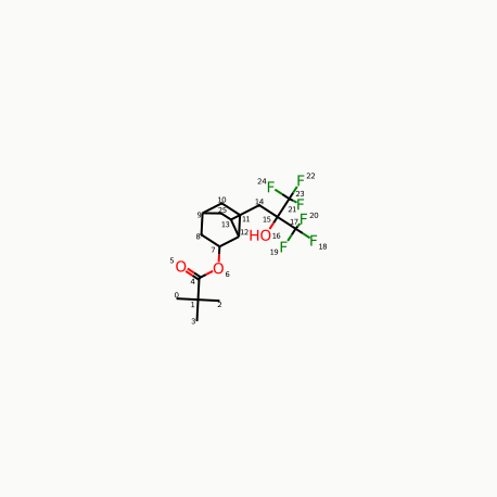 CC(C)(C)C(=O)OC1CC2CCC1C(CC(O)(C(F)(F)F)C(F)(F)F)C2